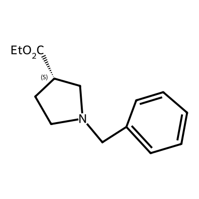 CCOC(=O)[C@H]1CCN(Cc2ccccc2)C1